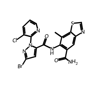 Cc1c(NC(=O)c2cc(Br)nn2-c2ncccc2Cl)c(C(N)=O)cc2ncsc12